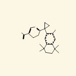 Cc1cc2c(cc1C1(C3=NC=C(C(=O)O)CC3)CC1)C(C)(C)CCC2(C)C